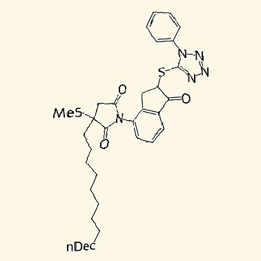 CCCCCCCCCCCCCCCCCCC1(SC)CC(=O)N(c2cccc3c2CC(Sc2nnnn2-c2ccccc2)C3=O)C1=O